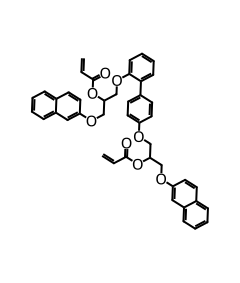 C=CC(=O)OC(COc1ccc(-c2ccccc2OCC(COc2ccc3ccccc3c2)OC(=O)C=C)cc1)COc1ccc2ccccc2c1